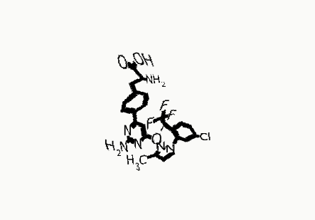 Cc1ccn(-c2cc(Cl)ccc2[C@H](Oc2cc(-c3ccc(CC(N)C(=O)O)cc3)nc(N)n2)C(F)(F)F)n1